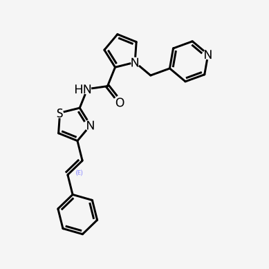 O=C(Nc1nc(/C=C/c2ccccc2)cs1)c1cccn1Cc1ccncc1